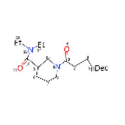 CCCCCCCCCCCCC(=O)N1CCCC(C(=O)N(CC)CC)C1